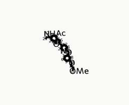 COCCOc1cccc(Oc2ccc(-c3cc4ccc(C(C)NC(C)=O)cc4o3)cn2)c1